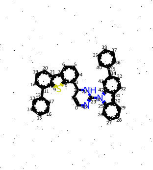 C1=CC(c2cccc3c2sc2c(-c4ccccc4)cccc23)NC(n2c3ccccc3c3ccc(-c4ccccc4)cc32)=N1